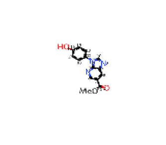 COC(=O)c1cnc2c(c1)ncn2-c1ccc(O)cc1